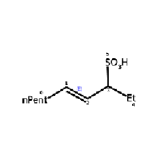 CCCCC/C=C/C(CC)S(=O)(=O)O